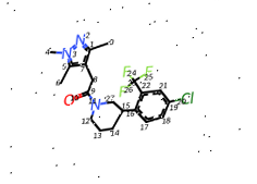 Cc1nn(C)c(C)c1CC(=O)N1CCCC(c2ccc(Cl)cc2C(F)(F)F)C1